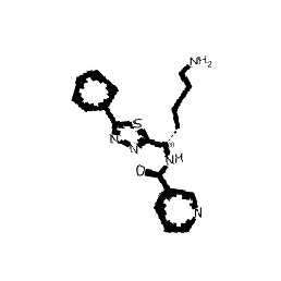 NCCCC[C@H](NC(=O)c1cccnc1)c1nnc(-c2ccccc2)s1